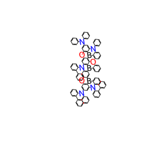 c1ccc(-c2ccccc2N(c2ccccc2)c2cc3c4c(c2)N(c2ccccc2-c2ccccc2)c2ccccc2B4c2cc4c(cc2O3)N(c2ccccc2-c2ccccc2)c2cc3c(c5c2B4c2ccccc2O5)B2c4ccccc4N(c4ccccc4)c4cc(N(c5ccccc5)c5ccccc5)cc(c42)O3)cc1